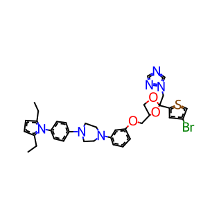 CCc1ccc(CC)n1-c1ccc(N2CCN(c3cccc(OCC4COC(Cn5cncn5)(c5cc(Br)cs5)O4)c3)CC2)cc1